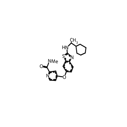 CNC(=O)c1cc(Oc2ccc3nc(N[C@H](C)C4CCCCC4)sc3c2)ccn1